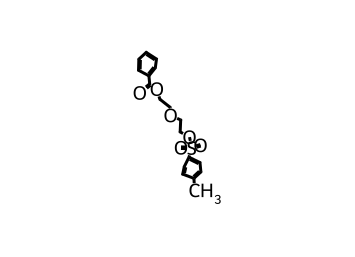 Cc1ccc(S(=O)(=O)OCCOCCOC(=O)c2ccccc2)cc1